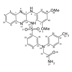 COc1cc(Nc2nc3ccccc3nc2NS(=O)(=O)c2cccc(N(CC(N)=O)c3ccc(C)cc3)c2)cc(OC)c1